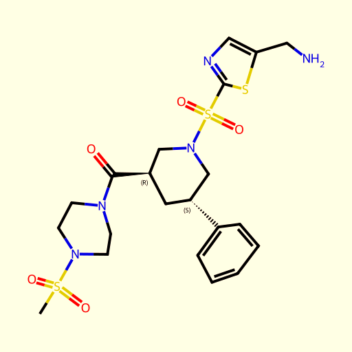 CS(=O)(=O)N1CCN(C(=O)[C@@H]2C[C@@H](c3ccccc3)CN(S(=O)(=O)c3ncc(CN)s3)C2)CC1